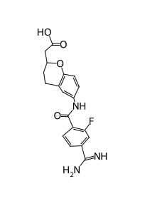 N=C(N)c1ccc(C(=O)Nc2ccc3c(c2)CCC(CC(=O)O)O3)c(F)c1